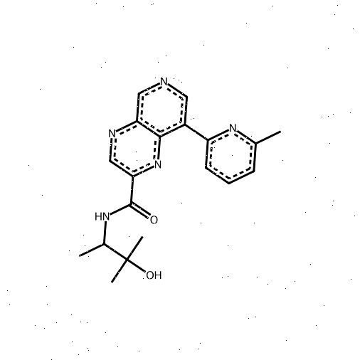 Cc1cccc(-c2cncc3ncc(C(=O)NC(C)C(C)(C)O)nc23)n1